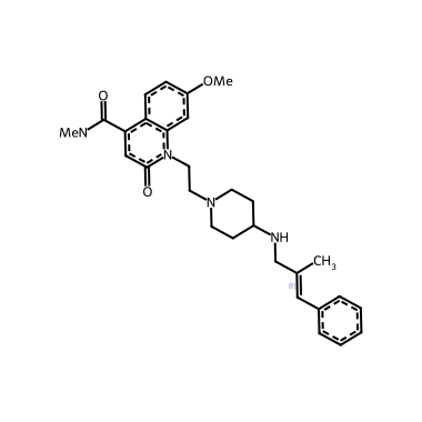 CNC(=O)c1cc(=O)n(CCN2CCC(NC/C(C)=C/c3ccccc3)CC2)c2cc(OC)ccc12